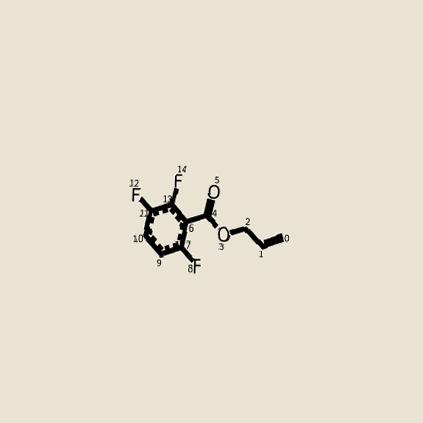 C=CCOC(=O)c1c(F)ccc(F)c1F